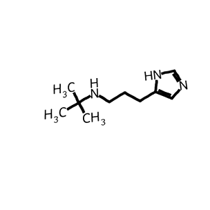 CC(C)(C)NCCCc1cnc[nH]1